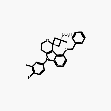 Cc1cc(-n2c3c(c4c(OCc5ccccc5)cccc42)[C@]2(C[C@@](C)(C(=O)O)C2)OCC3)ccc1F